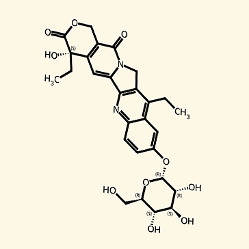 CCc1c2c(nc3ccc(O[C@H]4O[C@H](CO)[C@@H](O)[C@H](O)[C@H]4O)cc13)-c1cc3c(c(=O)n1C2)COC(=O)[C@]3(O)CC